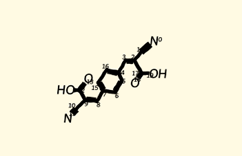 N#CC(=Cc1ccc(C=C(C#N)C(=O)O)cc1)C(=O)O